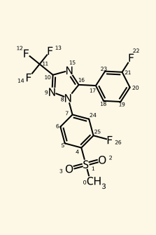 CS(=O)(=O)c1ccc(-n2nc(C(F)(F)F)nc2-c2cccc(F)c2)cc1F